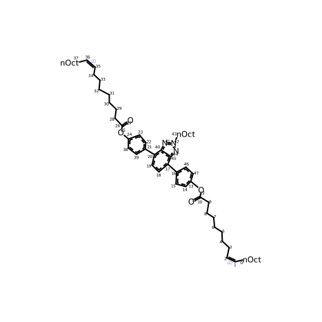 CCCCCCCC/C=C\CCCCCCCC(=O)Oc1ccc(-c2ccc(-c3ccc(OC(=O)CCCCCCC/C=C\CCCCCCCC)cc3)c3nn(CCCCCCCC)nc23)cc1